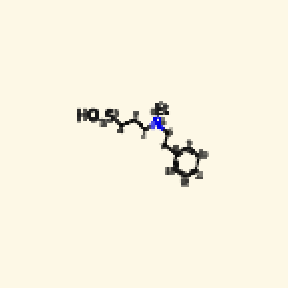 CCN(CCCS(=O)(=O)O)CCc1ccccc1